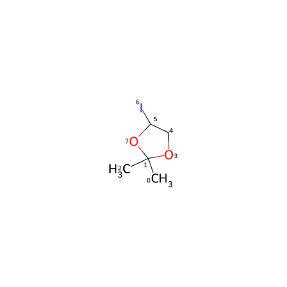 CC1(C)OCC(I)O1